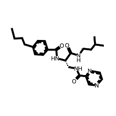 CCCCc1ccc(C(=O)N[C@@H](CNC(=O)c2cnccn2)C(=O)N[CH]CC(C)C)cc1